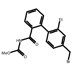 CCc1cc(CBr)ccc1-c1ccccc1C(=O)NC(=O)OC